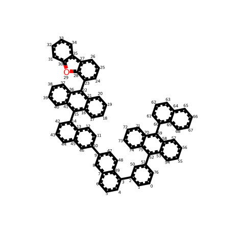 c1cc(-c2cccc3cc(-c4ccc5c(-c6c7ccccc7c(-c7cccc8c7oc7ccccc78)c7ccccc67)cccc5c4)ccc23)cc(-c2c3ccccc3c(-c3cccc4ccccc34)c3ccccc23)c1